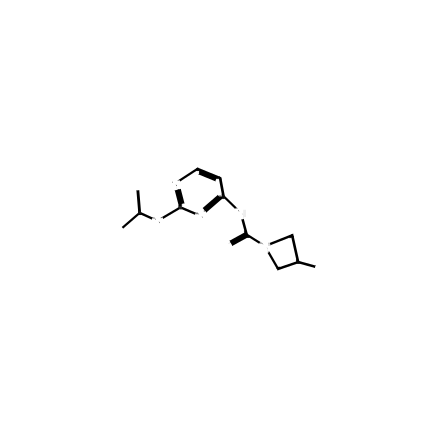 C[C]1CN(C(=O)Nc2ccnc(NC(C)C)n2)C1